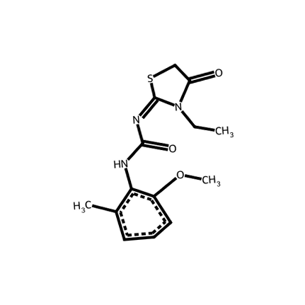 CCN1C(=O)CSC1=NC(=O)Nc1c(C)cccc1OC